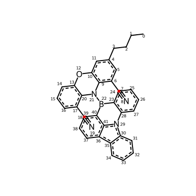 CCCCc1cc(C#N)c2c(c1)Oc1cccc(C#N)c1N2B1c2ccccc2-n2c3ccccc3c3cccc1c32